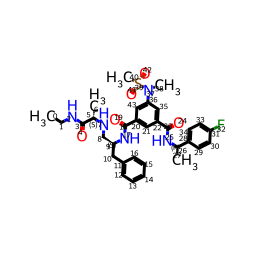 CCNC(=O)[C@H](C)NC[C@H](Cc1ccccc1)NC(=O)c1cc(C(=O)N[C@H](C)c2ccc(F)cc2)cc(N(C)S(C)(=O)=O)c1